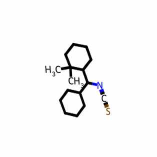 CC1(C)CCCCC1C(N=C=S)C1CCCCC1